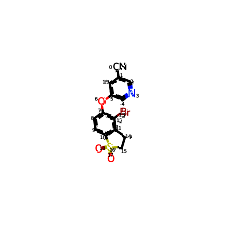 N#Cc1cncc(Oc2ccc3c(c2Br)CCS3(=O)=O)c1